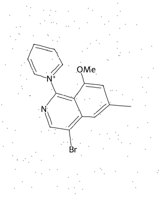 COc1cc(C)cc2c(Br)cnc(-[n+]3ccccc3)c12